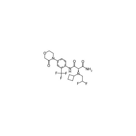 NC(=O)[C@H](C(=O)Nc1ccc(N2CCOCC2=O)cc1C(F)(F)F)N(CC(F)F)C1CCC1